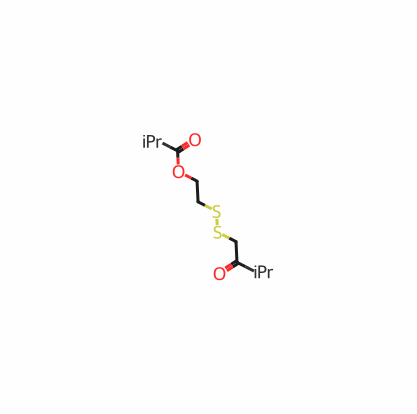 CC(C)C(=O)CSSCCOC(=O)C(C)C